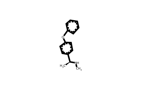 CN[C@@H](C)c1ccc(Oc2ccccc2)cc1